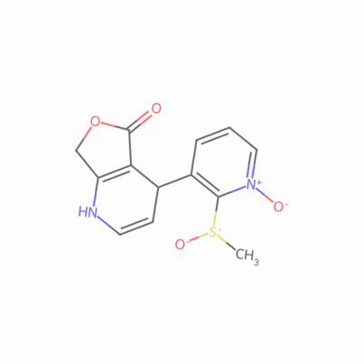 C[S+]([O-])c1c(C2C=CNC3=C2C(=O)OC3)ccc[n+]1[O-]